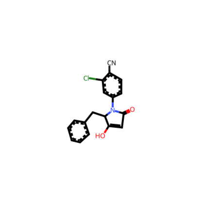 N#Cc1ccc(N2C(=O)C=C(O)C2Cc2ccccc2)cc1Cl